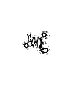 c1ccc(Nc2ccc(-c3cc(-c4ccccc4)cc(-c4ccccc4)c3)cc2)cc1